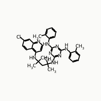 Cc1ccccc1Nc1nc(Nc2ccccc2C)nc(NC(C)(C)CC(C)(C)Nc2ccnc3cc(Cl)ccc23)n1